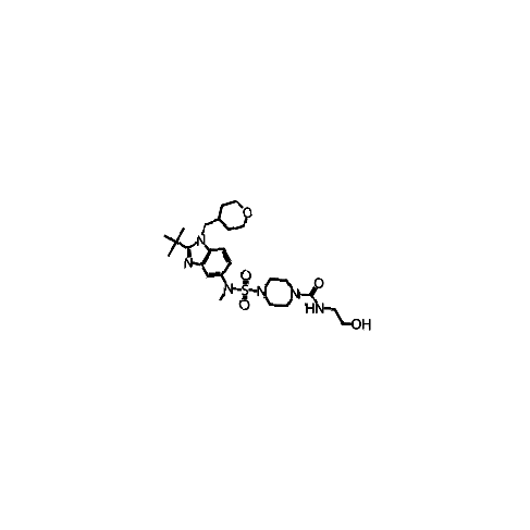 CN(c1ccc2c(c1)nc(C(C)(C)C)n2CC1CCOCC1)S(=O)(=O)N1CCN(C(=O)NCCO)CC1